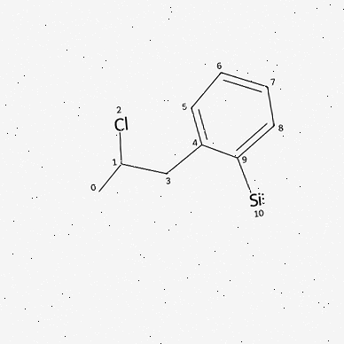 CC(Cl)Cc1ccccc1[Si]